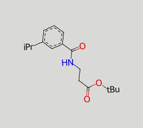 CC(C)c1cccc(C(=O)NCCC(=O)OC(C)(C)C)c1